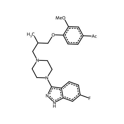 COc1cc(C(C)=O)ccc1OCC(C)CN1CCN(c2n[nH]c3cc(F)ccc23)CC1